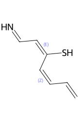 C=C/C=C\C(S)=C/C=N